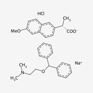 CN(C)CCOC(c1ccccc1)c1ccccc1.COc1ccc2cc([C@H](C)C(=O)[O-])ccc2c1.Cl.[Na+]